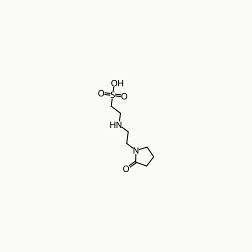 O=C1CCCN1CCNCCS(=O)(=O)O